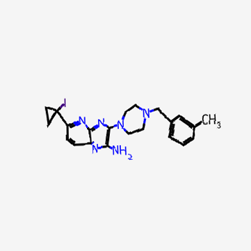 Cc1cccc(CN2CCN(c3nc4nc(C5(I)CC5)ccc4nc3N)CC2)c1